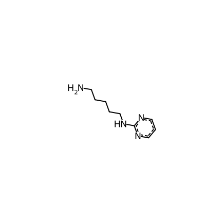 NCCCCCNc1ncccn1